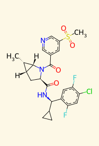 C[C@H]1[C@H]2C[C@H](C(=O)N[C@@H](c3cc(F)c(Cl)cc3F)C3CC3)N(C(=O)c3cncc(S(C)(=O)=O)c3)[C@@H]12